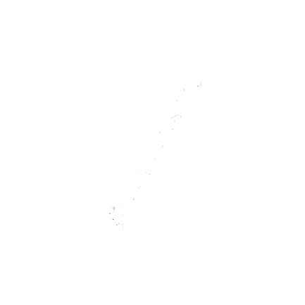 C[SiH](C)CCC/C=C/CCCCCCCCCCCCC[Si](Cl)(Cl)Cl